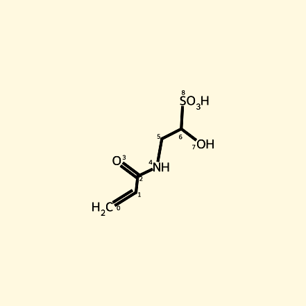 C=CC(=O)NCC(O)S(=O)(=O)O